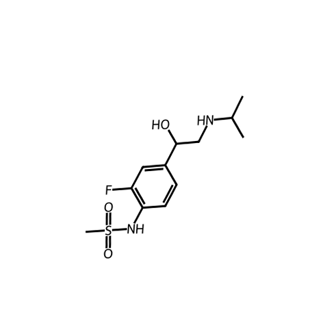 CC(C)NCC(O)c1ccc(NS(C)(=O)=O)c(F)c1